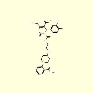 COCC1=C(C(=O)OC)[C@H](c2ccc(F)c(F)c2)N(C(=O)NCCNC2CCN(c3ccccc3C(=O)OC)CC2)C(=O)N1